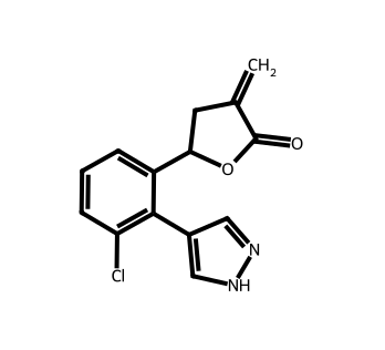 C=C1CC(c2cccc(Cl)c2-c2cn[nH]c2)OC1=O